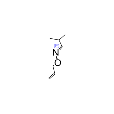 C=CCO/N=C/C(C)C